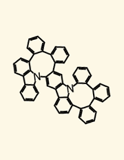 c1ccc2c(c1)c1ccccc1c1cccc3c4ccccc4n(c4cc5c6cccc7c8ccccc8c8ccccc8c8ccccc8n(c5cc24)c76)c13